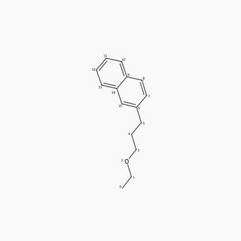 CCOCCCc1c[c]c2ccccc2c1